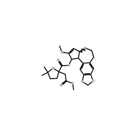 COC(=O)CC1(C(=O)OC2C(OC)=CC34CCCN3CCc3cc5c(cc3C24)OCO5)CCC(C)(C)O1